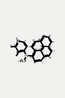 CCCCN(c1ccnc(C)c1C)c1ccc2ccc3cccc4ccc1c2c34